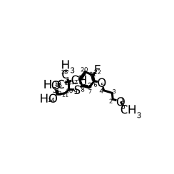 COCCCOc1cc(SC(CC(=O)O)C(C)(C)C)ccc1F